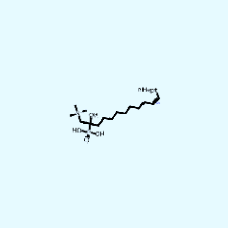 CCCCCCC/C=C\CCCCCCCCC(O)(C[N+](C)(C)C)P(=O)(O)O